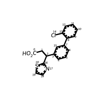 O=C(O)CC(c1cccc(-c2ccccc2Cl)c1)c1nccs1